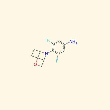 Nc1cc(F)c(N2C3CCC34OCC24)c(F)c1